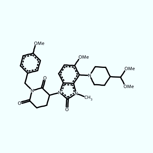 COc1ccc(CN2C(=O)CCC(n3c(=O)n(C)c4c(N5CCC(C(OC)OC)CC5)c(OC)ccc43)C2=O)cc1